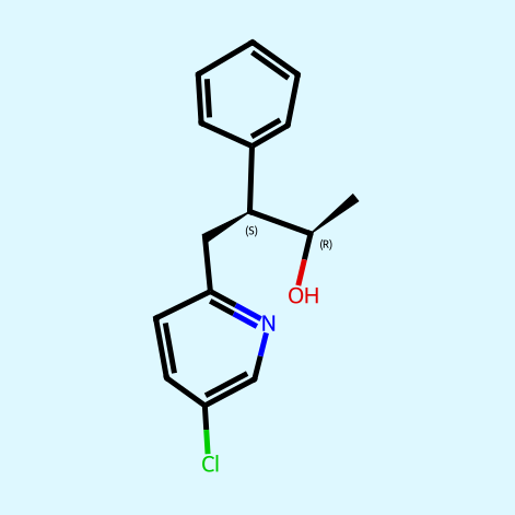 C[C@@H](O)[C@@H](Cc1ccc(Cl)cn1)c1ccccc1